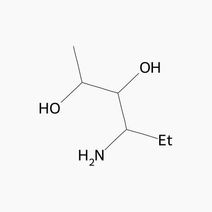 [CH2]CC(N)C(O)C(C)O